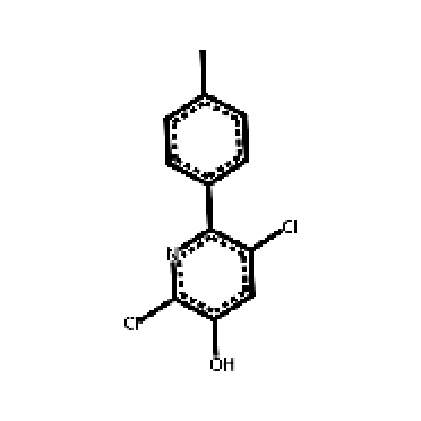 Cc1ccc(-c2nc(Cl)c(O)cc2Cl)cc1